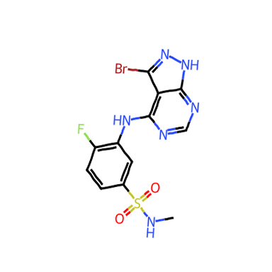 CNS(=O)(=O)c1ccc(F)c(Nc2ncnc3[nH]nc(Br)c23)c1